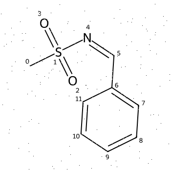 CS(=O)(=O)/N=C\c1ccccc1